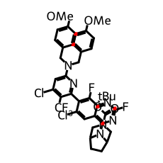 COc1ccc(CN(Cc2ccc(OC)cc2)c2cc(Cl)c(C(F)(F)F)c(-c3c(Cl)cc4c(N5C6CCC5CN(C(=O)OC(C)(C)C)C6)nc(F)nc4c3F)n2)cc1